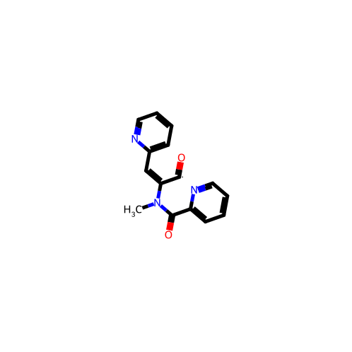 CN(C(=O)c1ccccn1)C([C]=O)=Cc1ccccn1